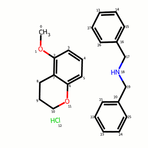 COc1cccc2c1CCCO2.Cl.c1ccc(CNCc2ccccc2)cc1